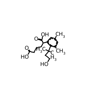 Cc1cc(C)c(C(C)(C)CCO)c(C(CCCC(=O)O)C(=O)O)c1